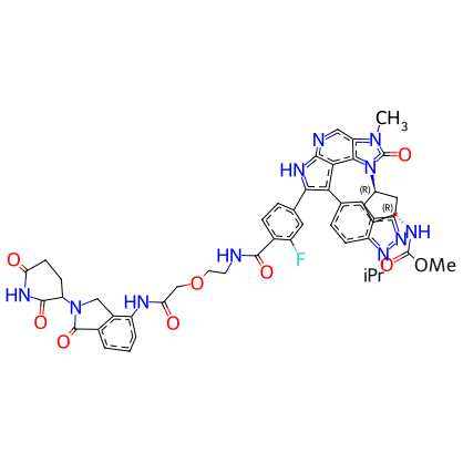 COC(=O)N[C@@H]1CC[C@@H](n2c(=O)n(C)c3cnc4[nH]c(-c5ccc(C(=O)NCCOCC(=O)Nc6cccc7c6CN(C6CCC(=O)NC6=O)C7=O)c(F)c5)c(-c5ccc6c(cnn6C(C)C)c5)c4c32)C1